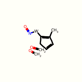 C=O.C=O.CC1=[C]([W][N]=O)CC=C1